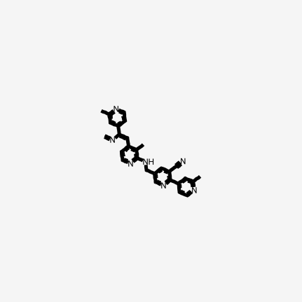 C=N/C(=C\c1ccnc(NCc2cnc(-c3ccnc(C)c3)c(C#N)c2)c1C)c1ccnc(C)c1